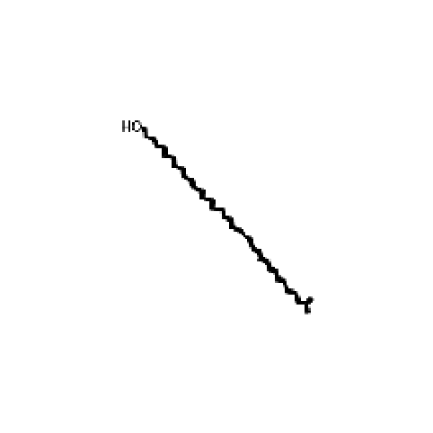 CC(C)CCCCCCCCCCCCCCCCCCCCCCCCCCCCCCCCCCO